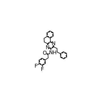 O=C(Cc1ccc(F)c(F)c1)Nc1nc2c(nc1CCc1ccccc1)-c1ccccc1CC2